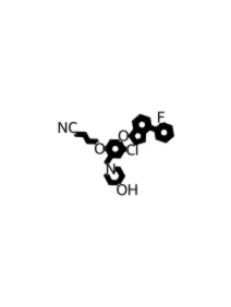 N#CCCCCOc1cc(O[C@H]2CCc3c(-c4ccccc4F)cccc32)c(Cl)cc1CN1CCC(O)CC1